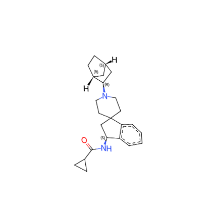 O=C(N[C@H]1CC2(CCN([C@@H]3C[C@H]4CC[C@@H]3C4)CC2)c2ccccc21)C1CC1